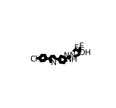 OC1(C(F)(F)F)CCN(c2nc3cc(-c4ccc(-c5ccc(Cl)cc5)cn4)ccc3[nH]2)CC1